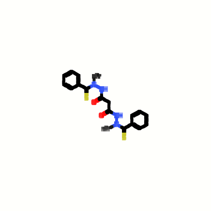 CCCN(NC(=O)CC(=O)NN(CCC)C(=S)c1ccccc1)C(=S)c1ccccc1